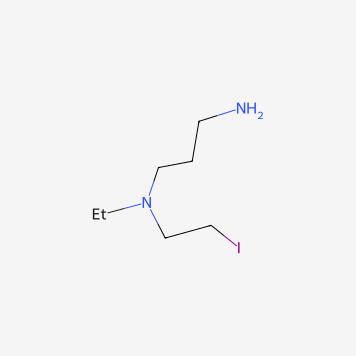 CCN(CCI)CCCN